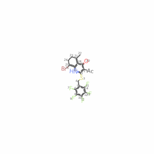 CC(=O)c1c(SCc2c(F)c(F)c(F)c(F)c2F)[nH]c2c(c1=O)=C(C)CCC=2Br